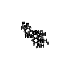 CNc1ccc(C(=O)NC2CCC(C(F)(F)F)CC2)c([C@@]23CNC[C@H]2C3)c1N